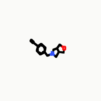 C#Cc1ccc(CN2CC3COCC3C2)cc1